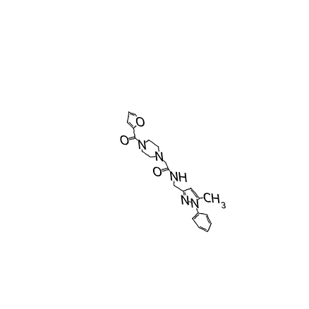 Cc1cc(CNC(=O)CN2CCN(C(=O)c3ccco3)CC2)nn1-c1ccccc1